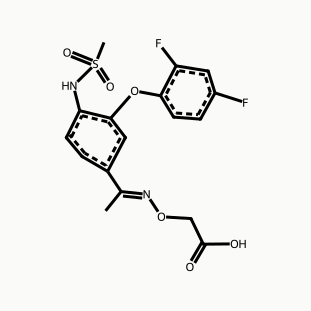 CC(=NOCC(=O)O)c1ccc(NS(C)(=O)=O)c(Oc2ccc(F)cc2F)c1